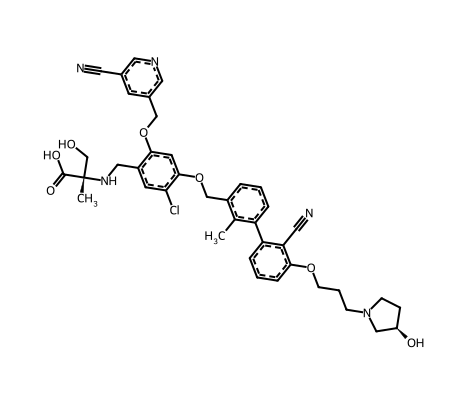 Cc1c(COc2cc(OCc3cncc(C#N)c3)c(CN[C@@](C)(CO)C(=O)O)cc2Cl)cccc1-c1cccc(OCCCN2CC[C@@H](O)C2)c1C#N